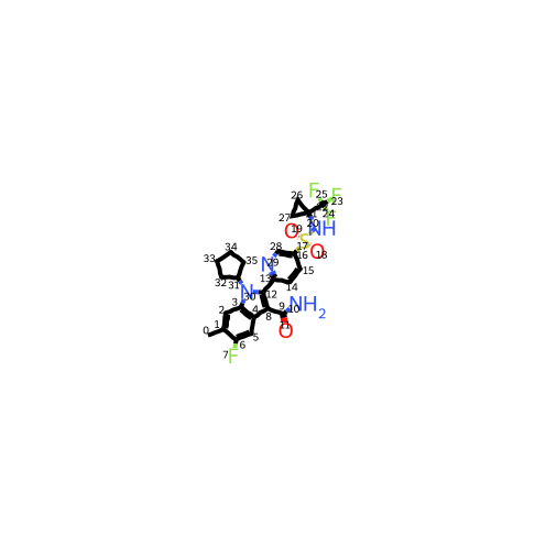 Cc1cc2c(cc1F)c(C(N)=O)c(-c1ccc(S(=O)(=O)NC3(C(F)(F)F)CC3)cn1)n2C1CCCC1